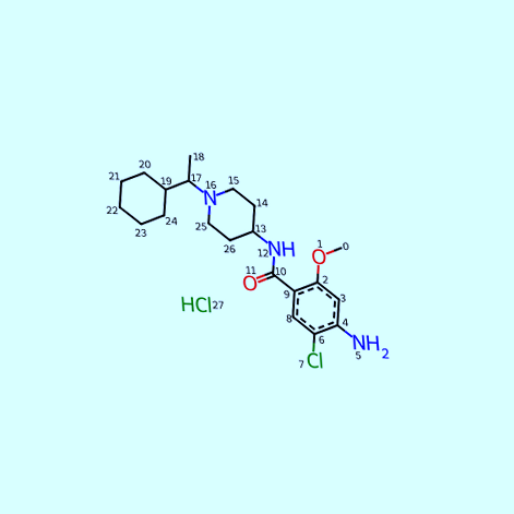 COc1cc(N)c(Cl)cc1C(=O)NC1CCN(C(C)C2CCCCC2)CC1.Cl